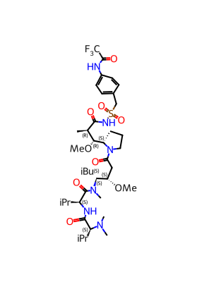 CC[C@H](C)[C@@H]([C@H](CC(=O)N1CCC[C@H]1[C@H](OC)[C@@H](C)C(=O)NS(=O)(=O)Cc1ccc(NC(=O)C(F)(F)F)cc1)OC)N(C)C(=O)[C@@H](NC(=O)[C@H](C(C)C)N(C)C)C(C)C